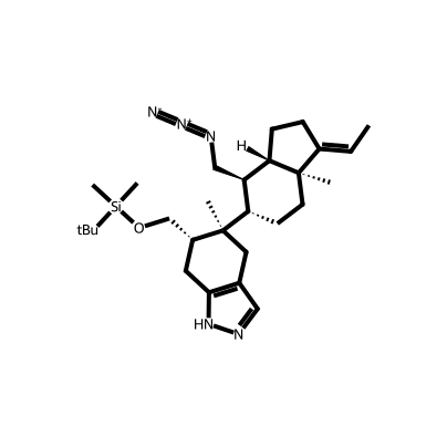 C/C=C1\CC[C@H]2[C@H](CN=[N+]=[N-])[C@@H]([C@@]3(C)Cc4cn[nH]c4C[C@@H]3CO[Si](C)(C)C(C)(C)C)CC[C@]12C